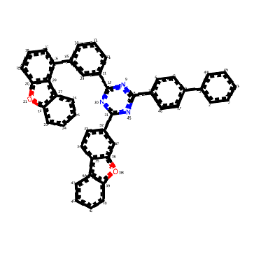 c1ccc(-c2ccc(-c3nc(-c4cccc(-c5cccc6oc7ccccc7c56)c4)nc(-c4ccc5c(c4)oc4ccccc45)n3)cc2)cc1